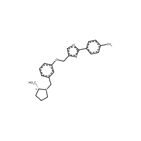 Cc1ccc(-c2nc(COc3cccc(CN4CCC[C@@H]4C(=O)O)c3)co2)cc1